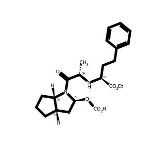 CCOC(=O)[C@H](CCc1ccccc1)N[C@@H](C)C(=O)N1[C@@H](OC(=O)O)C[C@@H]2CCC[C@@H]21